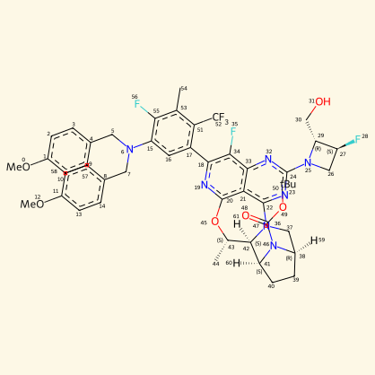 COc1ccc(CN(Cc2ccc(OC)cc2)c2cc(-c3nc4c5c(nc(N6C[C@H](F)[C@H]6CO)nc5c3F)N3C[C@H]5CC[C@@H]([C@H]3[C@H](C)O4)N5C(=O)OC(C)(C)C)c(C(F)(F)F)c(C)c2F)cc1